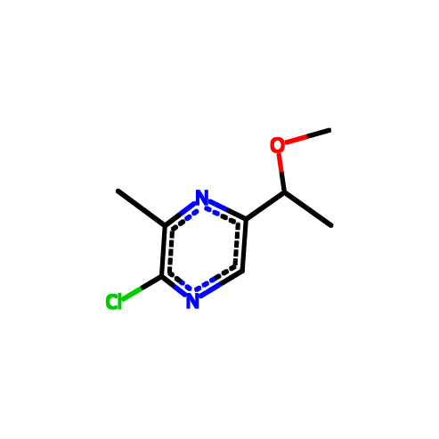 COC(C)c1cnc(Cl)c(C)n1